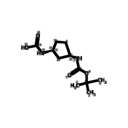 CC(C)(C)OC(=O)N[C@@H]1CC[C@H](NC(=O)O)C1